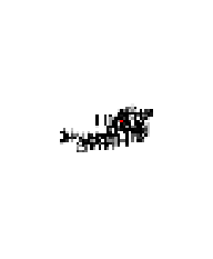 CCN(CC)CCNC(=O)c1c(C)[nH]c(/C=C2\C(=O)Nc3ccc(NC(=O)/C=C\C(=O)O[C@@H](CNC(C)(C)C)COc4nsnc4N4CCOCC4)cc32)c1C